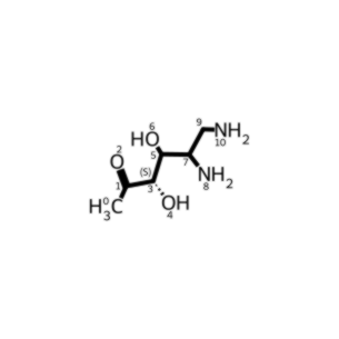 CC(=O)[C@@H](O)C(O)C(N)CN